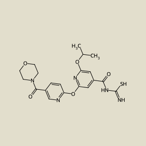 CC(C)Oc1cc(C(=O)NC(=N)S)cc(Oc2ccc(C(=O)N3CCOCC3)cn2)n1